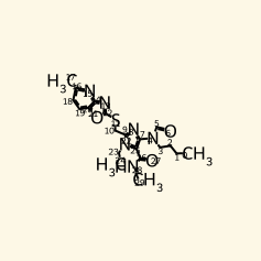 CCCCN(C=O)c1nc(CSc2nc3nc(C)ccc3o2)n(CC)c1C(=O)NC